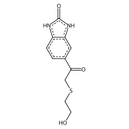 O=C(CSCCO)c1ccc2[nH]c(=O)[nH]c2c1